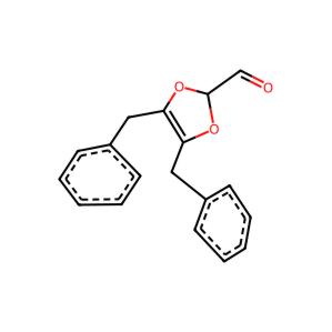 O=CC1OC(Cc2ccccc2)=C(Cc2ccccc2)O1